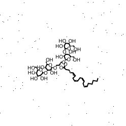 CCCCC/C=C\C/C=C\C/C=C\C/C=C\CCCC(=O)OC(CO[C@@H]1O[C@H](CO)[C@@H](O)[C@H](O[C@@H]2O[C@H](CO)[C@@H](O)[C@H](O)[C@H]2O)[C@H]1O)CO[C@@H]1O[C@H](CO)[C@@H](O)[C@H](O[C@@H]2O[C@H](CO)[C@@H](O)[C@H](O)[C@H]2O)[C@H]1O